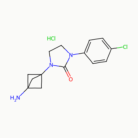 Cl.NC12CC(N3CCN(c4ccc(Cl)cc4)C3=O)(C1)C2